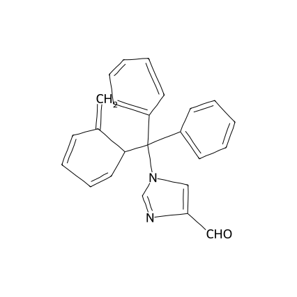 C=C1C=CC=CC1C(c1ccccc1)(c1ccccc1)n1cnc(C=O)c1